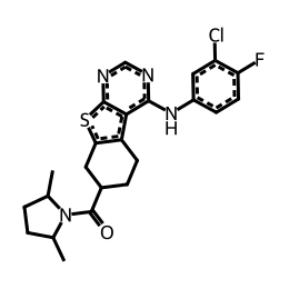 CC1CCC(C)N1C(=O)C1CCc2c(sc3ncnc(Nc4ccc(F)c(Cl)c4)c23)C1